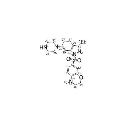 CCc1nn(S(=O)(=O)c2ccc3c(c2)OCCN3C)c2cc(N3CCNCC3)ccc12